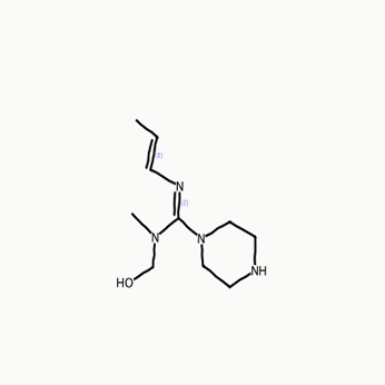 C/C=C/N=C(\N(C)CO)N1CCNCC1